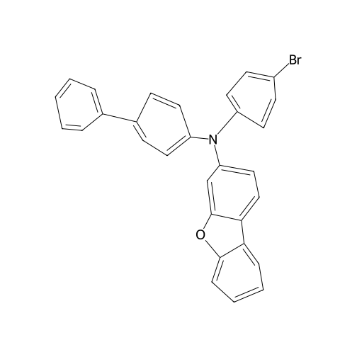 Brc1ccc(N(c2ccc(-c3ccccc3)cc2)c2ccc3c(c2)oc2ccccc23)cc1